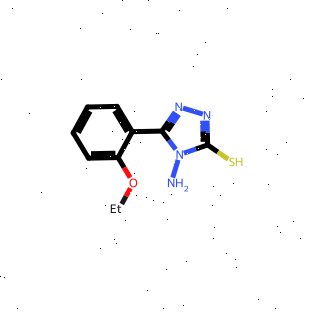 CCOc1ccccc1-c1nnc(S)n1N